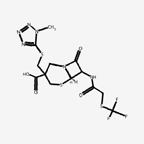 Cn1nnnc1SCC1(C(=O)O)CS[C@@H]2C(NC(=O)CSC(F)(F)F)C(=O)N2C1